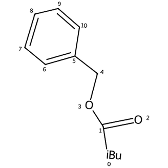 [CH2]C(CC)C(=O)OCc1ccccc1